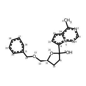 Cc1ncnn2c(C3(O)CC[C@@H](COCc4ccccc4)O3)ccc12